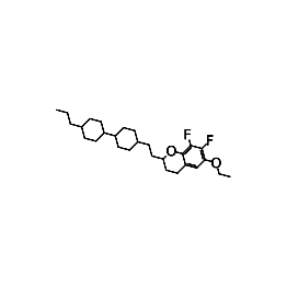 CCCC1CCC(C2CCC(CCC3CCc4cc(OCC)c(F)c(F)c4O3)CC2)CC1